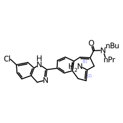 CCCCN(CCC)C(=O)/C1=C/c2ccc(C3=NCc4ccc(Cl)cc4N3)cc2C/C=C(\N)C1